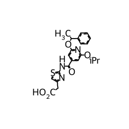 CC(C)Oc1cc(C(=O)Nc2nc(CC(=O)O)cs2)cc(OC(C)c2ccccc2)n1